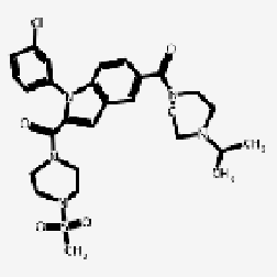 CC(C)N1CCN(C(=O)c2ccc3c(c2)cc(C(=O)N2CCN(S(C)(=O)=O)CC2)n3-c2cccc(Cl)c2)CC1